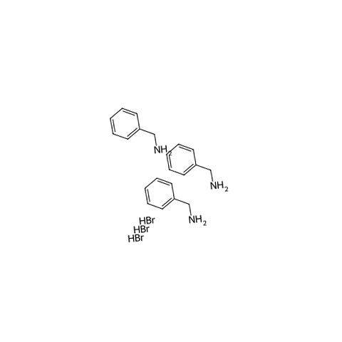 Br.Br.Br.NCc1ccccc1.NCc1ccccc1.NCc1ccccc1